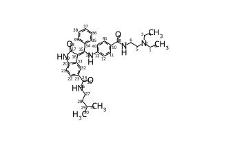 CCN(CC)CCNC(=O)c1ccc(NC(=C2C(=O)Nc3ccc(C(=O)NCCC(C)C)cc32)c2ccccc2)cc1